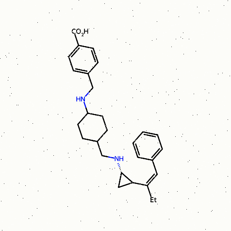 CCC(=Cc1ccccc1)C1C[C@@H]1NCC1CCC(NCc2ccc(C(=O)O)cc2)CC1